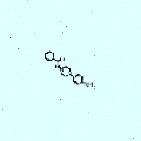 Nc1ccc(N2CCN(OC(=O)c3ccccc3)CC2)cc1